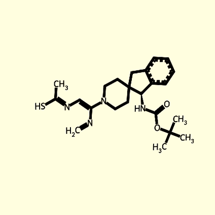 C=N/C(=C\N=C(/C)S)N1CCC2(CC1)Cc1ccccc1[C@H]2NC(=O)OC(C)(C)C